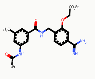 CCOC(=O)COc1cc(C(=N)N)ccc1CNC(=O)c1cc(C)cc(NC(=O)C(C)C)c1